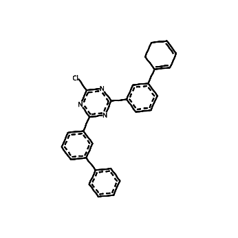 Clc1nc(-c2cccc(C3=CC=CCC3)c2)nc(-c2cccc(-c3ccccc3)c2)n1